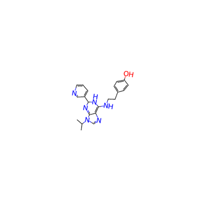 CC(C)n1cnc2c1=NC(c1cccnc1)NC=2NCCc1ccc(O)cc1